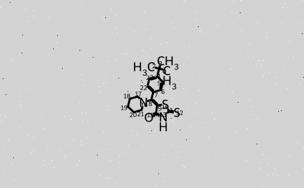 CC(C)(C)c1ccc(/C(=C2\SC(=S)NC2=O)N2CCCCC2)cc1